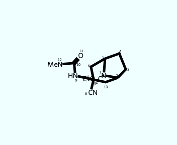 CCOC(=O)N1C2CCC1CC(C#N)(NC(=O)NC)C2